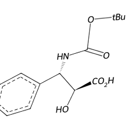 CC(C)(C)OC(=O)N[C@@H](c1ccccc1)[C@H](O)C(=O)O